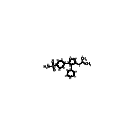 CC(C)Cc1noc(-c2ccc(S(N)(=O)=O)cc2)c1-c1ccccc1